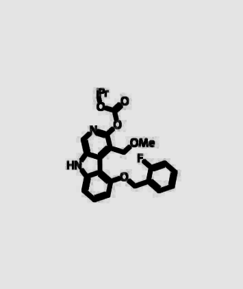 COCc1c(OC(=O)OC(C)C)ncc2[nH]c3cccc(OCc4ccccc4F)c3c12